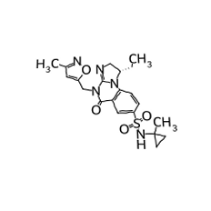 CC[C@H]1CN=C2N(Cc3cc(C)no3)C(=O)c3cc(S(=O)(=O)NC4(C)CC4)ccc3N21